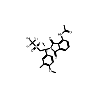 [2H]C([2H])([2H])S(=O)(=O)C[C@]([2H])(c1ccc(OC)c(C)c1)N1C(=O)c2cccc(NC(C)=O)c2C1=O